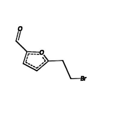 O=Cc1ccc(CCBr)o1